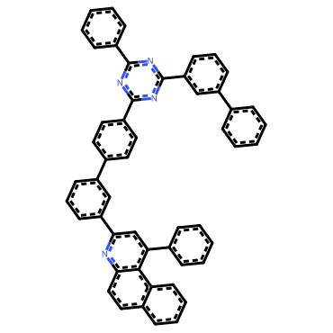 c1ccc(-c2cccc(-c3nc(-c4ccccc4)nc(-c4ccc(-c5cccc(-c6cc(-c7ccccc7)c7c(ccc8ccccc87)n6)c5)cc4)n3)c2)cc1